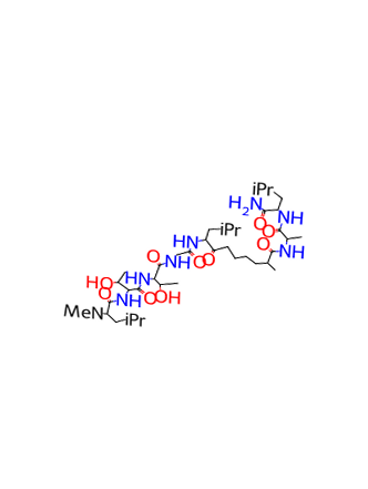 CNC(CC(C)C)C(=O)NC(C(=O)NC(C(=O)NCC(=O)NC(CC(C)C)C(=O)CCCCC(C)C(=O)NC(C)C(=O)NC(CC(C)C)C(N)=O)C(C)O)C(C)O